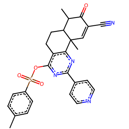 Cc1ccc(S(=O)(=O)Oc2nc(-c3ccncc3)nc3c2CCC2C(C)C(=O)C(C#N)=CC32C)cc1